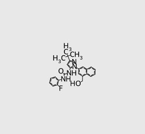 CC(C)(C)c1cc(NC(=O)Nc2ccccc2F)n(-c2cc(CO)c3ccccc3c2)n1